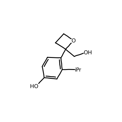 CC(C)c1cc(O)ccc1C1(CO)CCO1